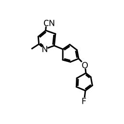 Cc1cc(C#N)cc(-c2ccc(Oc3ccc(F)cc3)cc2)n1